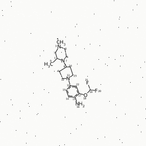 CC1CN(C)CCN1C1CCN(c2ccc(N)c(OC(F)F)c2)CC1